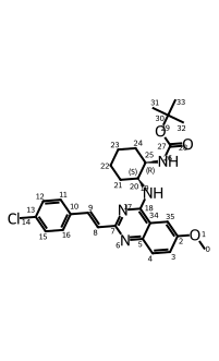 COc1ccc2nc(C=Cc3ccc(Cl)cc3)nc(N[C@H]3CCCC[C@H]3NC(=O)OC(C)(C)C)c2c1